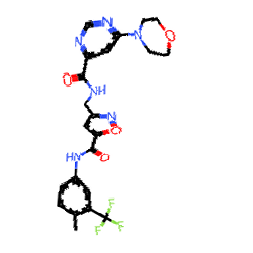 Cc1ccc(NC(=O)c2cc(CNC(=O)c3cc(N4CCOCC4)ncn3)no2)cc1C(F)(F)F